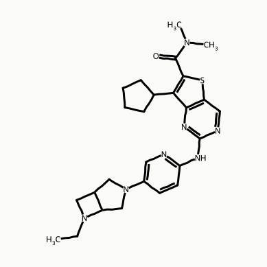 CCN1CC2CN(c3ccc(Nc4ncc5sc(C(=O)N(C)C)c(C6CCCC6)c5n4)nc3)CC21